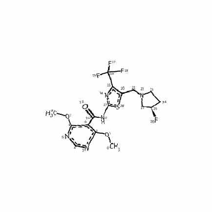 COc1ncnc(OC)c1C(=O)Nc1nc(C(F)(F)F)c(CN2CC[C@@H](F)C2)s1